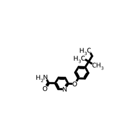 CCC(C)(C)c1ccc(Oc2ccc(C(N)=O)cn2)cc1